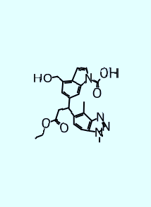 CCOC(=O)CC(c1cc(CO)c2ccn(C(=O)O)c2c1)c1ccc2c(nnn2C)c1C